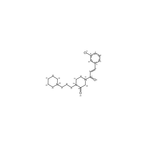 O=C(/C=C/c1cccc(Cl)c1)N1CCN(CCCN2CCCCC2)C(=O)C1